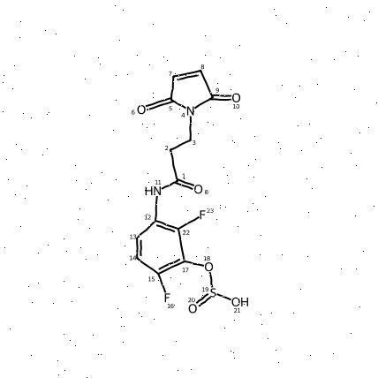 O=C(CCN1C(=O)C=CC1=O)Nc1ccc(F)c(OS(=O)O)c1F